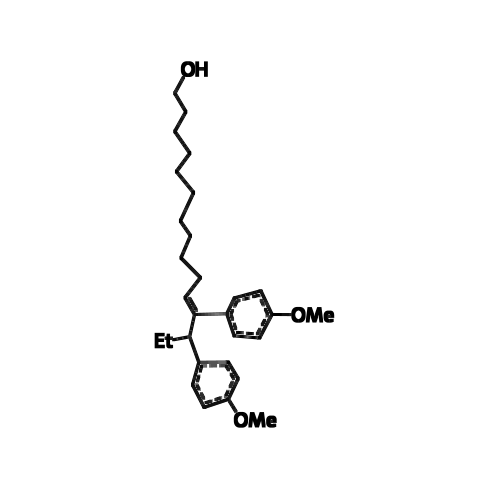 CCC(/C(=C/CCCCCCCCCCO)c1ccc(OC)cc1)c1ccc(OC)cc1